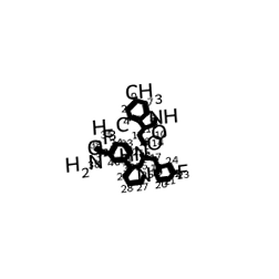 Cc1cc(C)c2c(c1)NC(=O)C2CC(=O)NC(Cc1cccc(F)c1)c1ncccc1-c1ccc(F)c(C(N)=O)c1